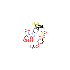 COc1ccc(OS(=O)(=O)CC23CCC(CC2=O)C3(C)C)cc1.NC(CO)(CO)CO.S